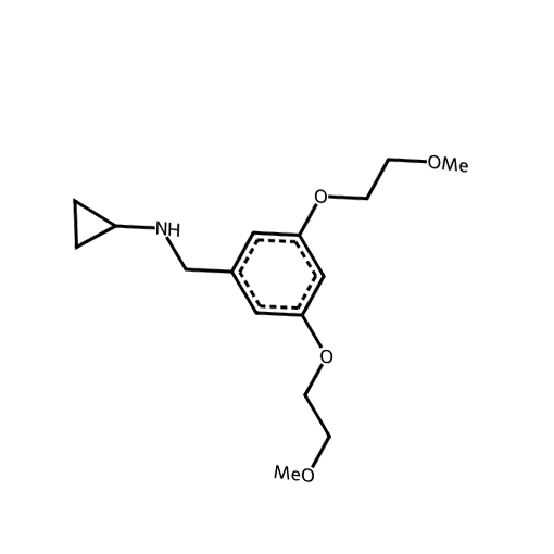 COCCOc1cc(CNC2CC2)cc(OCCOC)c1